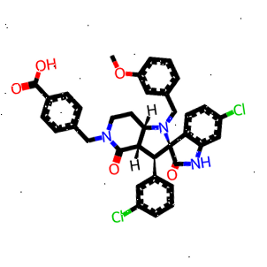 COc1cccc(CN2[C@H]3CCN(Cc4ccc(C(=O)O)cc4)C(=O)[C@H]3[C@H](c3cccc(Cl)c3)[C@]23C(=O)Nc2cc(Cl)ccc23)c1